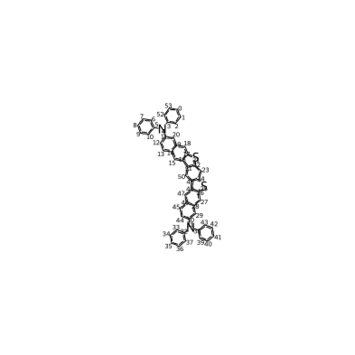 c1ccc(N(c2ccccc2)c2ccc3cc4c(cc3c2)sc2cc3sc5cc6cc(N(c7ccccc7)c7ccccc7)ccc6cc5c3cc24)cc1